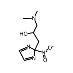 CN(C)CC(O)CC1([N+](=O)[O-])N=CC=N1